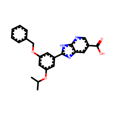 CC(C)Oc1cc(OCc2ccccc2)cc(-c2nc3cc(C(=O)O)cnc3[nH]2)c1